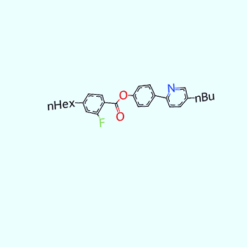 CCCCCCc1ccc(C(=O)Oc2ccc(-c3ccc(CCCC)cn3)cc2)c(F)c1